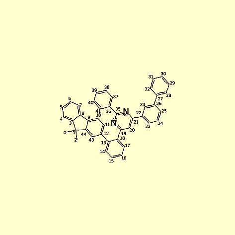 CC1(C)c2ccccc2-c2ccc(-c3ccccc3-c3cc(-c4cccc(-c5ccccc5)c4)nc(-c4ccccc4)n3)cc21